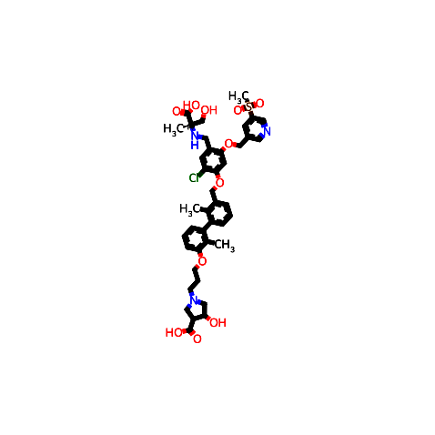 Cc1c(COc2cc(OCc3cncc(S(C)(=O)=O)c3)c(CN[C@](C)(CO)C(=O)O)cc2Cl)cccc1-c1cccc(OCCCN2CC(O)C(C(=O)O)C2)c1C